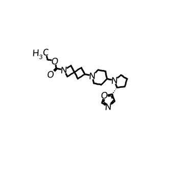 CCOC(=O)N1CC2(CC(N3CCC(N4CCC[C@@H]4c4cnco4)CC3)C2)C1